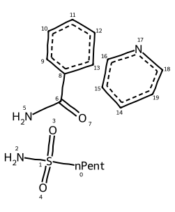 CCCCCS(N)(=O)=O.NC(=O)c1ccccc1.c1ccncc1